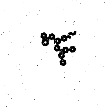 C=C(/C=C\C=C/C)c1ccc(-c2cc(-c3cccc(N4c5ccccc5C5=CC4C=CC=C5)c3)nc(-c3cccc(N4C5C=CC(c6ccccc6)=CC5C5C=C(c6ccccc6)C=CC54)c3)c2)cc1